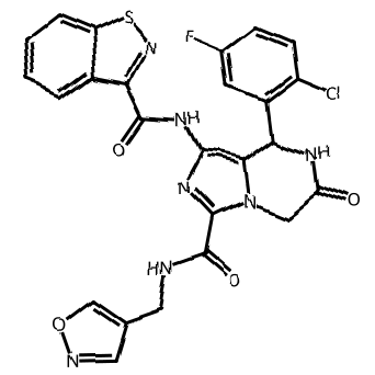 O=C1Cn2c(C(=O)NCc3cnoc3)nc(NC(=O)c3nsc4ccccc34)c2C(c2cc(F)ccc2Cl)N1